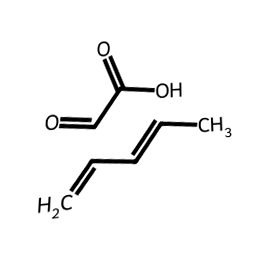 C=CC=CC.O=CC(=O)O